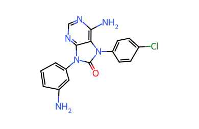 Nc1cccc(-n2c(=O)n(-c3ccc(Cl)cc3)c3c(N)ncnc32)c1